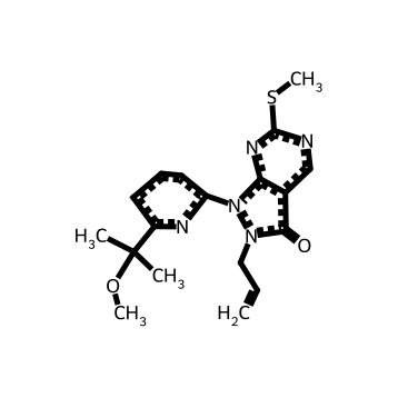 C=CCn1c(=O)c2cnc(SC)nc2n1-c1cccc(C(C)(C)OC)n1